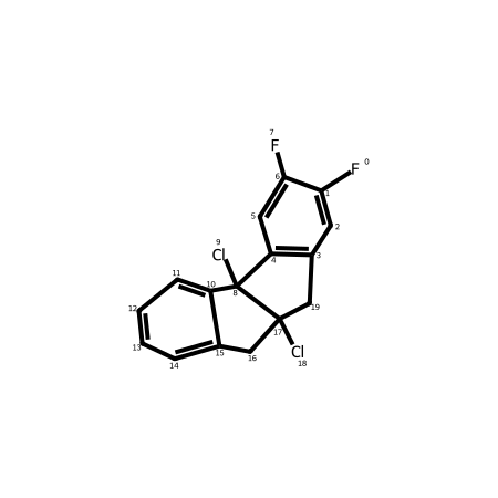 Fc1cc2c(cc1F)C1(Cl)c3ccccc3CC1(Cl)C2